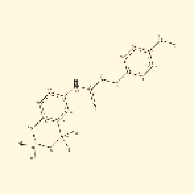 COc1ccc(CNC(=S)Nc2ccc3c(c2)C(C)(C)CC(C)(C)S3)cc1